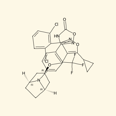 O=c1[nH]c(-c2ccc(N3[C@@H]4CC[C@H]3C[C@@H](OCc3c(-c5c(Cl)cccc5Cl)noc3C3CC3)C4)cc2C(F)(F)F)no1